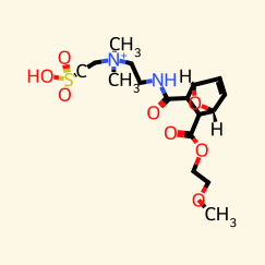 COCCOC(=O)C1C(C(=O)NCC[N+](C)(C)CCS(=O)(=O)O)[C@@H]2C=C[C@H]1O2